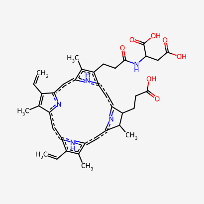 C=CC1=C(C)c2cc3[nH]c(cc4nc(cc5[nH]c(cc1n2)c(C)c5CCC(=O)NC(CC(=O)O)C(=O)O)C(CCC(=O)O)C4C)c(C)c3C=C